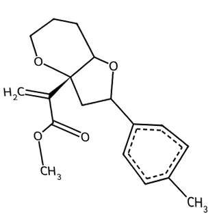 C=C(C(=O)OC)[C@]12CC(c3ccc(C)cc3)OC1CCCO2